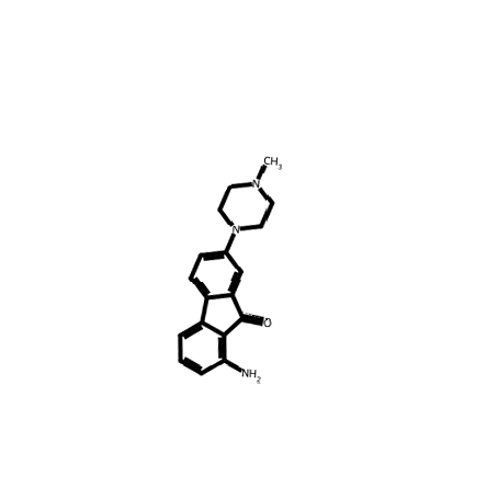 CN1CCN(c2ccc3c(c2)C(=O)c2c(N)cccc2-3)CC1